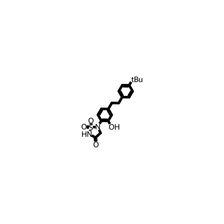 CC(C)(C)c1ccc(CCc2ccc(N3CC(=O)NS3(=O)=O)c(O)c2)cc1